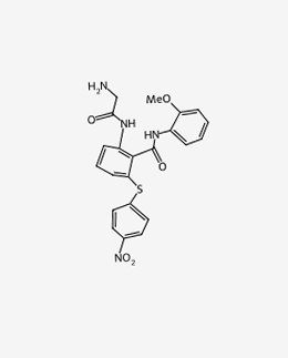 COc1ccccc1NC(=O)c1c(NC(=O)CN)cccc1Sc1ccc([N+](=O)[O-])cc1